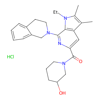 CCn1c(C)c(C)c2cc(C(=O)N3CCCC(O)C3)nc(N3CCc4ccccc4C3)c21.Cl